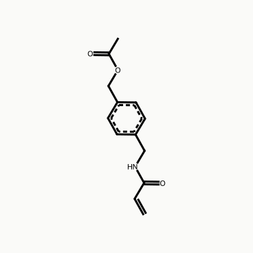 C=CC(=O)NCc1ccc(COC(C)=O)cc1